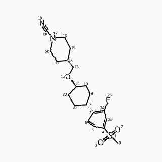 CS(=O)(=O)c1ccc([C@H]2CC[C@H](OCC3CCN(C#N)CC3)CC2)c(F)c1